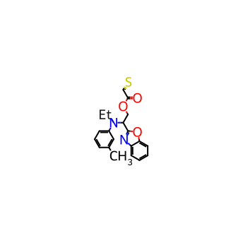 CCN(c1cccc(C)c1)C(COC(=O)C=S)c1nc2ccccc2o1